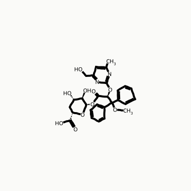 COC(c1ccccc1)(c1ccccc1)[C@H](Oc1nc(C)cc(CO)n1)C(=O)O[C@@H]1O[C@H](C(=O)O)C[C@H](O)[C@H]1O